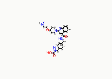 CN(C)CCOC1CCN(c2cc(C(=O)NCC3CCC(CNC(=O)O)CC3)c3ccccc3n2)CC1